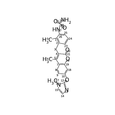 Cc1c(Cc2c(C)c3ccc(Oc4nccn4C)cc3oc2=O)cccc1NS(N)(=O)=O